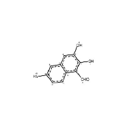 O=Cc1c(O)c(O)cc2cc(S)ccc12